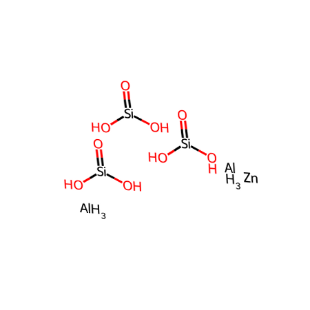 O=[Si](O)O.O=[Si](O)O.O=[Si](O)O.[AlH3].[AlH3].[Zn]